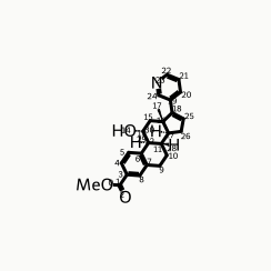 COC(=O)c1ccc2c(c1)CC[C@@H]1[C@@H]2[C@H](O)C[C@]2(C)C(c3cccnc3)=CC[C@@H]12